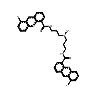 CN(CCCNC(=O)c1cccc2cc3c(Cl)cccc3nc12)CCCNC(=O)c1cccc2cc3c(Cl)cccc3nc12